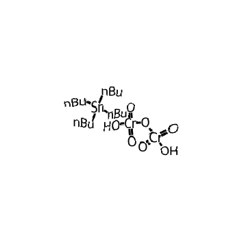 CCC[CH2][Sn]([CH2]CCC)([CH2]CCC)[CH2]CCC.[O]=[Cr](=[O])([OH])[O][Cr](=[O])(=[O])[OH]